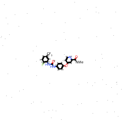 CNC(=O)c1cc(Oc2ccc(NC(=O)Nc3cc(C(F)(F)F)ccc3F)cc2)ccn1